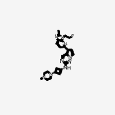 Cc1nc2ccc(-c3ccn4nc(N[C@H]5C[C@H](N6CCN(C)CC6)C5)ncc34)nc2n1CCF